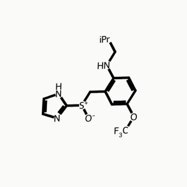 CC(C)CNc1ccc(OC(F)(F)F)cc1C[S+]([O-])c1ncc[nH]1